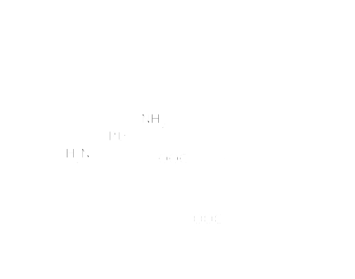 C1CCCCC1.O=C([O-])c1ccccc1C(=O)[O-].[NH2][Pt+2][NH2]